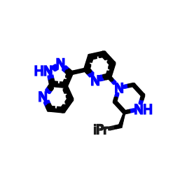 CC(C)C[C@H]1CN(c2cccc(-c3n[nH]c4ncccc34)n2)CCN1